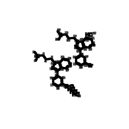 CN(C)CCCn1nc(-c2cccc(Br)c2)c2cnccc21.CN(C)CCCn1nc(-c2cccc(Br)c2)c2cnccc21.Cl.Cl.Cl.Cl.O